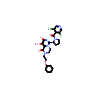 O=C1c2c(O)c(=O)nc([C@@H]3CCCN3C(=O)c3c(Cl)cncc3Cl)n2CCN1CCOc1ccccc1